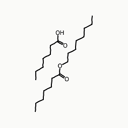 CCCCCCC(=O)O.CCCCCCCCOC(=O)CCCCCC